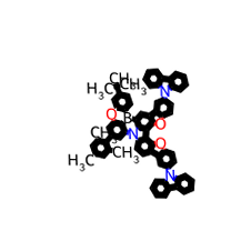 Cc1cc(C)c(-c2cc3c4c(c2)-n2c5ccc6c7cc(-n8c9ccccc9c9ccccc98)ccc7oc6c5c5c6oc7ccc(-n8c9ccccc9c9ccccc98)cc7c6cc(c52)B4c2ccc(C(C)(C)C)cc2O3)c(C)c1